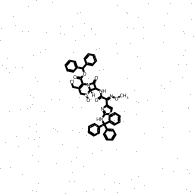 CON=C(C(=O)NC1C(=O)N2C(C(=O)OC(c3ccccc3)c3ccccc3)=C(CCl)C[S+]([O-])[C@@H]12)c1csc(NC(c2ccccc2)(c2ccccc2)c2ccccc2)n1